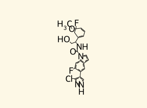 COC1(F)C=CC=C(C(CO)NC(=O)n2ccc3cc(-c4c[nH]nc4Cl)c(F)cc32)C1